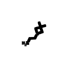 CC1(C)CN(CCN)C1